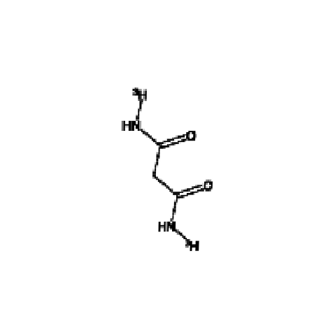 [3H]NC(=O)CC(=O)N[3H]